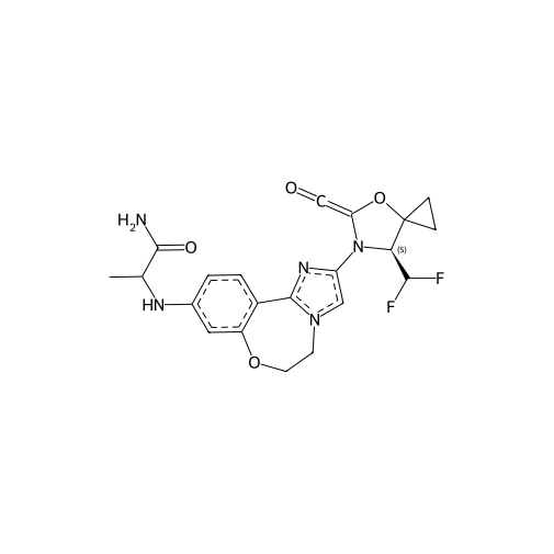 CC(Nc1ccc2c(c1)OCCn1cc(N3C(=C=O)OC4(CC4)[C@H]3C(F)F)nc1-2)C(N)=O